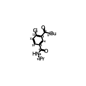 CCC(C)C(=O)c1cc(C(=O)NC(C)C)ccc1Cl